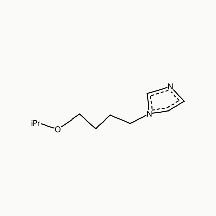 CC(C)OCCCCn1ccnc1